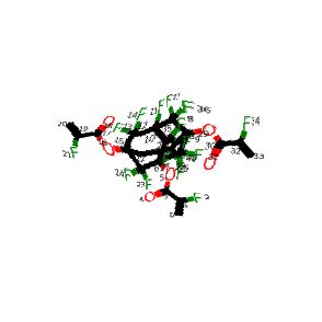 C=C(F)C(=O)OC12C(F)(F)C3(F)C(F)(F)C(OC(=O)C(=C)F)(C1(F)F)C(F)(F)C(OC(=O)C(=C)F)(C3(F)F)C2(F)F